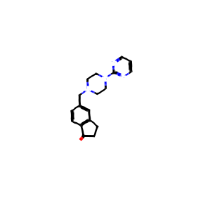 O=C1CCc2cc(CN3CCN(c4ncccn4)CC3)ccc21